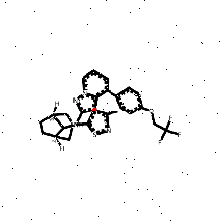 Cc1cc(N2C[C@H]3CC[C@@H](C2)C3Nc2nc3c(-c4ccc(OCC(F)(F)F)cc4)cccn3n2)sn1